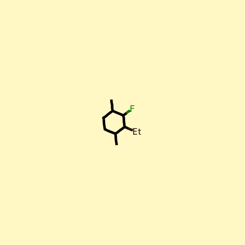 CCC1C(C)CCC(C)C1F